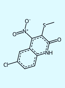 CSc1c([N+](=O)[O-])c2cc(Cl)ccc2[nH]c1=O